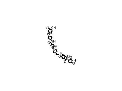 N#Cc1ccc(O[C@H]2CC[C@H](NC(=O)c3cnc(N4CCN(CCOc5cc6c(cc5F)C(=O)N(C5CCC(=O)NC5=O)C6=O)CC4)c(F)c3)CC2)cc1Cl